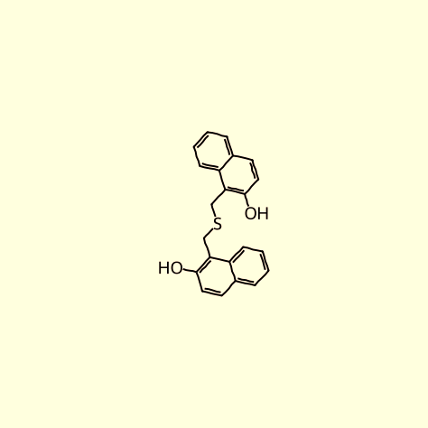 Oc1ccc2ccccc2c1CSCc1c(O)ccc2ccccc12